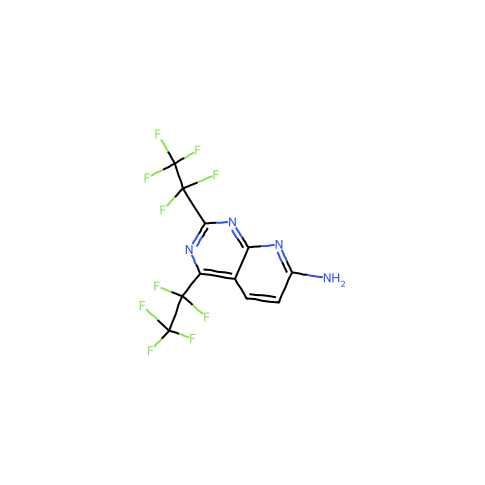 Nc1ccc2c(C(F)(F)C(F)(F)F)nc(C(F)(F)C(F)(F)F)nc2n1